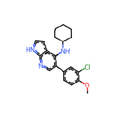 COc1ccc(-c2cnc3[nH]ccc3c2NC2CCCCC2)cc1Cl